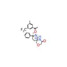 Cc1cc([C@@H](C)OC[C@@]2(c3ccccc3)CCC3(CN2)COCC(=O)N3)cc(C(F)(F)F)c1